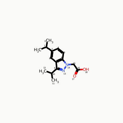 CC(C)c1ccc2c(c1)c(C(C)C)nn2CC(=O)O